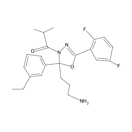 CCc1cccc(C2(CCCN)OC(c3cc(F)ccc3F)=NN2C(=O)C(C)C)c1